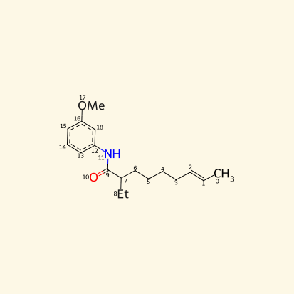 CC=CCCCCC(CC)C(=O)Nc1cccc(OC)c1